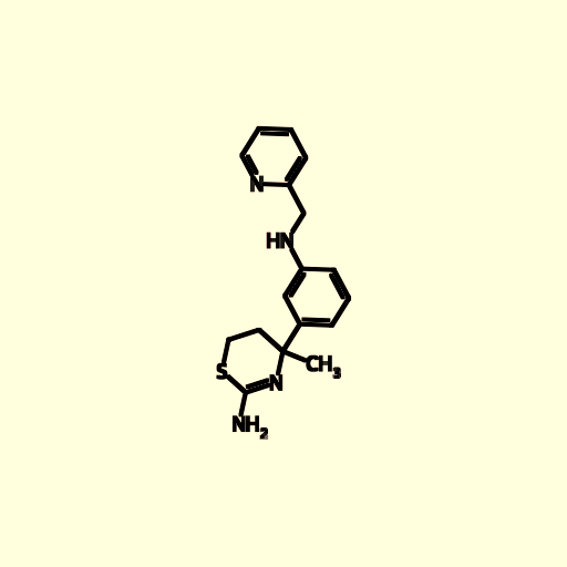 CC1(c2cccc(NCc3ccccn3)c2)CCSC(N)=N1